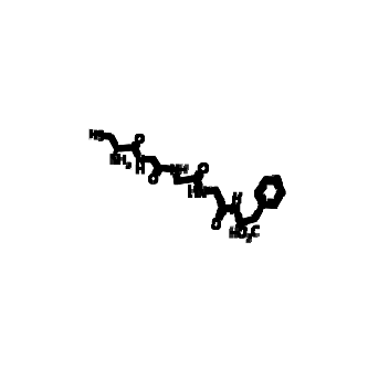 N[C@@H](CS)C(=O)NCC(=O)NCC(=O)NCC(=O)N[C@@H](Cc1ccccc1)C(=O)O